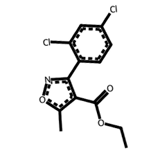 CCOC(=O)c1c(-c2ccc(Cl)cc2Cl)noc1C